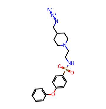 [N-]=[N+]=NCC1CCN(CCNS(=O)(=O)c2ccc(Oc3ccccc3)cc2)CC1